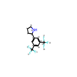 FC(F)(F)c1cc(C2CCCN2)cc(C(F)(F)F)c1